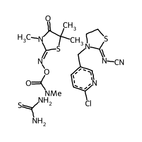 CNC(=O)O/N=C1\SC(C)(C)C(=O)N1C.N#C/N=C1\SCCN1Cc1ccc(Cl)nc1.NC(N)=S